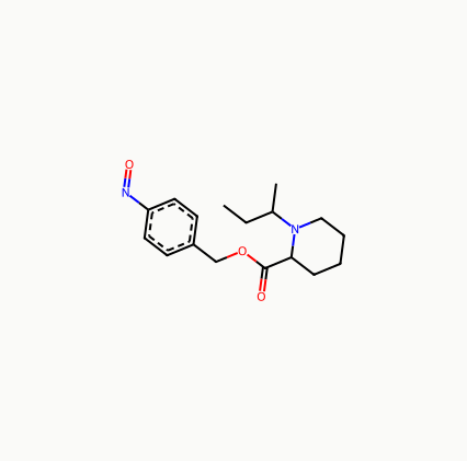 CCC(C)N1CCCCC1C(=O)OCc1ccc(N=O)cc1